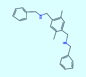 Cc1cc(CNCc2ccccc2)c(C)cc1CNCc1ccccc1